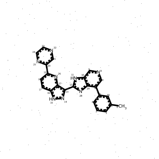 Cc1cccc(-c2cncc3[nH]c(-c4n[nH]c5ccc(-c6cnccn6)nc45)nc23)c1